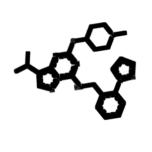 CC(C)c1cnn2c(NCc3ccccc3-n3cccn3)nc(OC3CCN(C)CC3)nc12